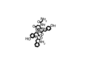 NCC(=O)NC(CC(N)=O)C(=O)NC(Cc1ccc(O)cc1)C(=O)NC(Cc1ccc(O)cc1)C(=O)NC(Cc1ccccc1)C(N)=O